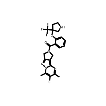 Cc1nc2c3c(nn2c(C)c1Cl)CN(C(=O)c1ccccc1OC1(C(F)(F)F)CCNC1)C3